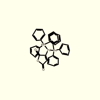 O=C1C=[C]([Pd]([PH](c2ccccc2)(c2ccccc2)c2ccccc2)[PH](c2ccccc2)(c2ccccc2)c2ccccc2)C(=O)O1